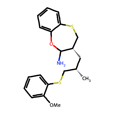 COc1ccccc1SC[C@@H](C)C[C@H]1CSc2ccccc2OC1N